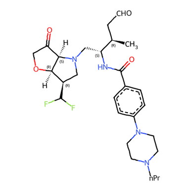 CCCN1CCN(c2ccc(C(=O)N[C@H](CN3C[C@@H](C(F)F)[C@H]4OCC(=O)[C@H]43)[C@H](C)CC=O)cc2)CC1